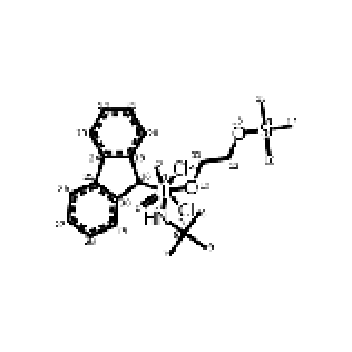 [CH2]=[Ti]([CH3])([Cl])([Cl])([NH]C(C)(C)C)([O]CCO[Si](C)(C)C)[CH]1c2ccccc2-c2ccccc21